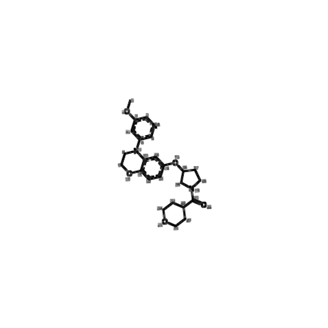 COc1cncc(N2CCOc3ccc(OC4CCN(C(=O)C5CCOCC5)C4)cc32)c1